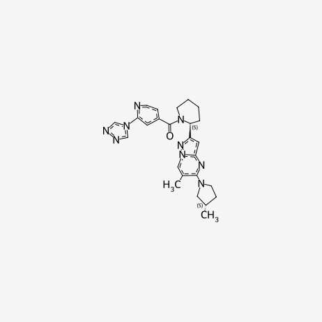 Cc1cn2nc([C@@H]3CCCCN3C(=O)c3ccnc(-n4cnnc4)c3)cc2nc1N1CC[C@H](C)C1